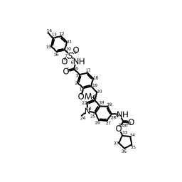 COc1cc(C(=O)NS(=O)(=O)c2ccc(C)cc2)ccc1Cc1cn(C)c2ccc(NC(=O)OC3CCCC3)cc12